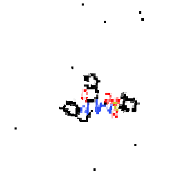 Cc1ccc2c(c1)CCCN2C(=O)[C@H](Cc1ccccc1)NC(=O)NS(=O)(=O)c1ccccc1C